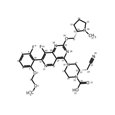 COCOc1cccc(F)c1-c1ncc2c(N3CCN(C(=O)O)[C@@H](CC#N)C3)nc(OC[C@@H]3CCCN3C)nc2c1F